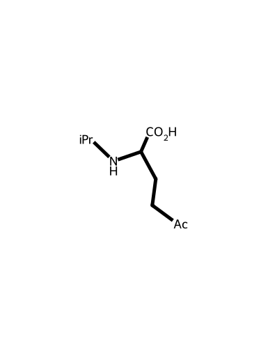 CC(=O)CCC(NC(C)C)C(=O)O